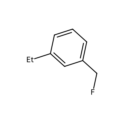 CCc1cccc(CF)c1